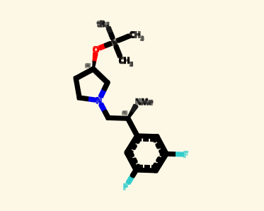 CN[C@H](CN1CC[C@@H](O[Si](C)(C)C(C)(C)C)C1)c1cc(F)cc(F)c1